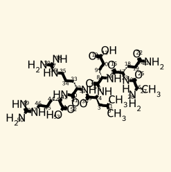 CC(C)C[C@H](NC(=O)[C@H](CCC(=O)O)NC(=O)[C@H](CCC(N)=O)NC(=O)[C@H](C)N)C(=O)N[C@@H](CCCNC(=N)N)C(=O)N[C@@H](CCCNC(=N)N)C(=O)O